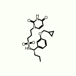 CCC[C@@H](NS(=O)(=O)CCCn1ccc(=O)[nH]c1=O)c1cccc(OCC2CC2)c1